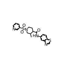 CC1CN(S(=O)(=O)c2cccnc2)CCC1C(=O)Nc1ccc2scnc2c1